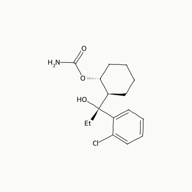 CC[C@](O)(c1ccccc1Cl)[C@@H]1CCCC[C@H]1OC(N)=O